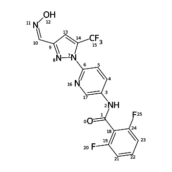 O=C(Nc1ccc(-n2nc(/C=N\O)cc2C(F)(F)F)nc1)c1c(F)cccc1F